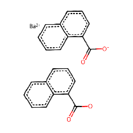 O=C([O-])c1cccc2ccccc12.O=C([O-])c1cccc2ccccc12.[Ba+2]